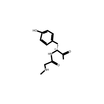 CNCC(=O)N[C@H](Cc1ccc(O)cc1)C(C)=O